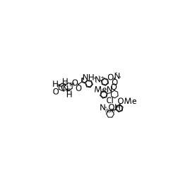 CN(C)C(=O)Oc1cccc([N+](C)(C)C)c1.CNC1(c2ccccc2Cl)CCCCC1=O.COc1cccc([C@@]2(O)CCCC[C@@H]2CN(C)C)c1.O=C(O[C@@H]1C[C@@H]2C[C@@H]3C[C@H](C1)N2CC3=O)c1c[nH]c2ccccc12